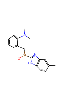 Cc1ccc2[nH]c([S+]([O-])Cc3ccccc3N(C)C)nc2c1